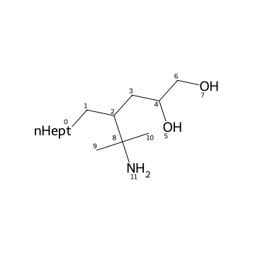 CCCCCCCCC(CC(O)CO)C(C)(C)N